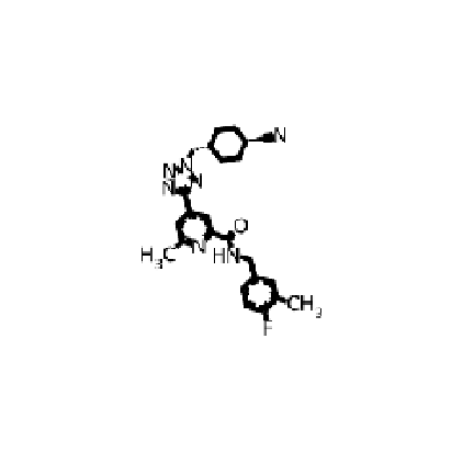 Cc1cc(-c2nnn(C[C@H]3CC[C@H](C#N)CC3)n2)cc(C(=O)NCc2ccc(F)c(C)c2)n1